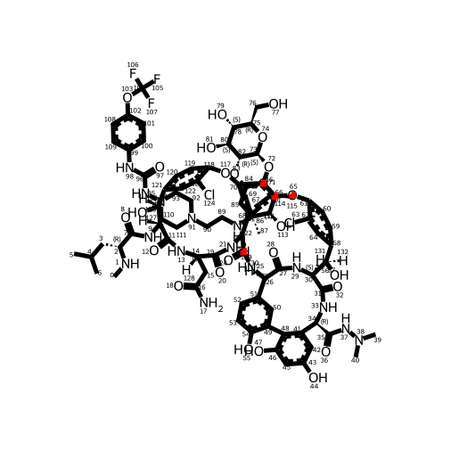 CN[C@H](CC(C)C)C(=O)N[C@H]1C(=O)N[C@@H](CC(N)=O)C(=O)N[C@H]2C(=O)N[C@H]3C(=O)N[C@H](C(=O)N[C@@H](C(=O)NN(C)C)c4cc(O)cc(O)c4-c4cc3ccc4O)[C@H](O)c3ccc(c(Cl)c3)Oc3cc2cc(c3O[C@@H]2O[C@H](CO)[C@@H](O)[C@H](O)[C@H]2O[C@H]2C[C@](C)(NCCN3CCN(NC(=O)Nc4ccc(OC(F)(F)F)cc4)CC3)[C@H](O)[C@H](C)O2)Oc2ccc(cc2Cl)[C@H]1O